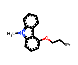 CC(C)CCOc1cccc2c1c1ccccc1n2C